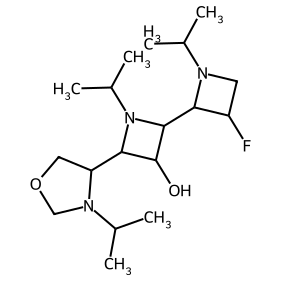 CC(C)N1COCC1C1C(O)C(C2C(F)CN2C(C)C)N1C(C)C